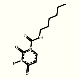 CCCCCCNC(=O)n1ccc(=O)n(F)c1=O